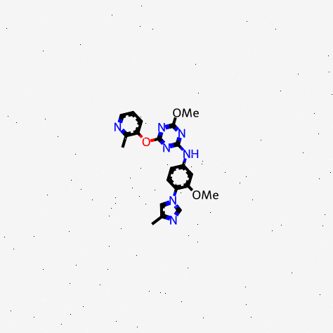 COc1nc(Nc2ccc(-n3cnc(C)c3)c(OC)c2)nc(Oc2cccnc2C)n1